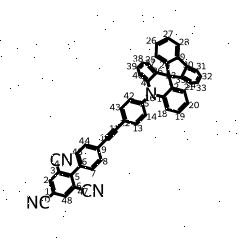 N#Cc1cc(C#N)c(-c2ccc(C#Cc3ccc(N4c5ccccc5C5(c6ccccc6-c6ccccc65)c5ccccc54)cc3)cc2)c(C#N)c1